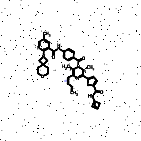 C=C/C=C\C1=C(C)N(C(=O)c2ccc(NC(=O)c3cc(C)cnc3N3CC4(CCOCC4)C3)cc2)[C@H](C)C(c2ccc(C(=O)NC34CC(C3)C4)s2)=N1